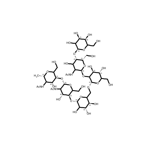 CC(=O)NC1C(O)[C@H](O[C@@H]2OC(CO)[C@H](O)[C@H](O)C2O)[C@H](CO)O[C@H]1OC1[C@@H](OCC2O[C@@H](O[C@@H]3C(CO)O[C@@H](O[C@@H]4C(CO)O[C@@H](C)C(NC(C)=O)[C@H]4O)C(NC(C)=O)[C@H]3O)C(O)[C@@H](O)[C@@H]2O)OC(CO)[C@@H](O)[C@@H]1O